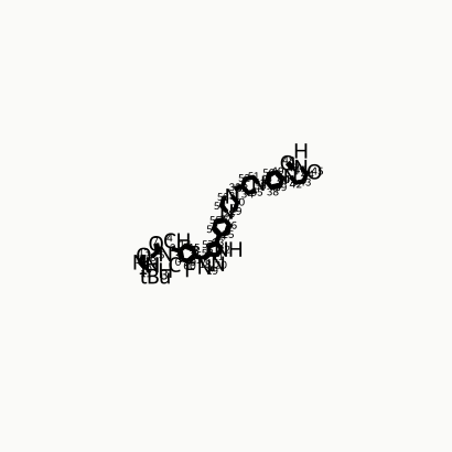 Cc1c(C(C)NC(=O)c2nc(C(C)(C)C)no2)ccc(-c2ncnc3[nH]c(-c4ccc(N5CCN(CC6CCN(c7ccc(N8CCC(=O)NC8=O)cc7)CC6)CC5)cc4)cc23)c1F